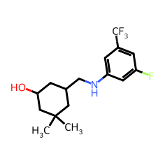 CC1(C)CC(O)CC(CNc2cc(F)cc(C(F)(F)F)c2)C1